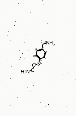 NCc1ccc(SOON)cc1